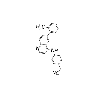 Cc1ccccc1-c1ccc2nccc(Nc3ccc(CC#N)cc3)c2c1